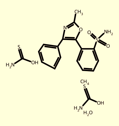 C.Cc1nc(-c2ccccc2)c(-c2ccccc2S(N)(=O)=O)o1.NC(O)=S.NC(O)=S.O